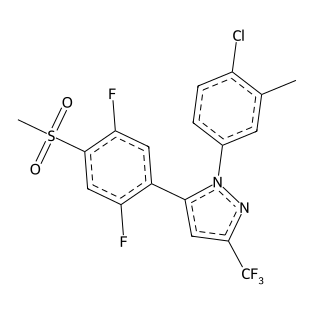 Cc1cc(-n2nc(C(F)(F)F)cc2-c2cc(F)c(S(C)(=O)=O)cc2F)ccc1Cl